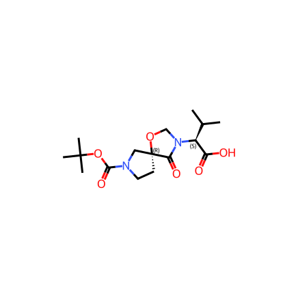 CC(C)[C@@H](C(=O)O)N1CO[C@@]2(CCN(C(=O)OC(C)(C)C)C2)C1=O